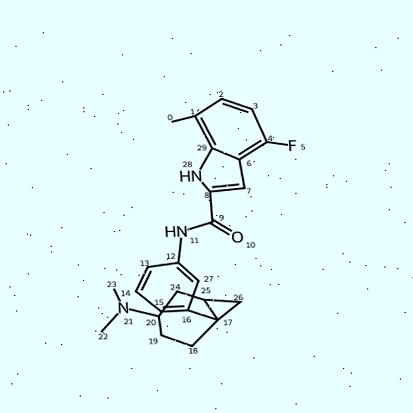 Cc1ccc(F)c2cc(C(=O)Nc3cccc(C45CCC(N(C)C)CC4C5)c3)[nH]c12